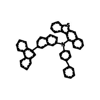 c1ccc(-c2ccc(N(c3ccc4ccc(-c5cc6ccccc6c6ccccc56)cc4c3)c3c4ccccc4cc4sc5ccccc5c34)cc2)cc1